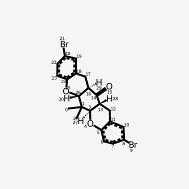 CC1(C)[C@@H]2Oc3ccc(Br)cc3C[C@H]2C(=O)[C@@H]2Cc3cc(Br)ccc3O[C@H]21